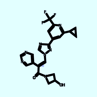 O=C(/C(=C/n1cnc(-c2cc(C3CC3)nc(C(F)(F)F)c2)n1)c1cncnc1)N1CC(O)C1